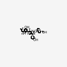 CCCc1c(/C=C\C(C)F)cc(O)cc1-c1ncc2c(N3CCC[C@@](C)(O)C3)nc(OC[C@@]34CCCN3[C@H](CO)CC4)nc2c1F